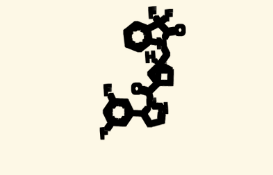 O=C(N1N=CCC1c1cc(F)cc(F)c1)C12CC(C1)[C@H](CN1C(=O)C(F)(F)c3ccccc31)C2